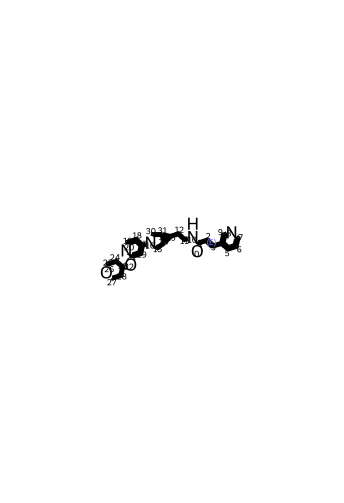 O=C(/C=C/c1cccnc1)NCCC1C2CN(c3ccnc(OC4CCOCC4)c3)CC12